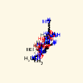 CCc1cc(OCCCCN=[N+]=[N-])ccc1-c1ccc(C[C@H](NC(=O)[C@H](CC(=O)O)NC(=O)[C@H](CO)NC(=O)[C@@H](NC(=O)[C@](C)(Cc2ccccc2F)NC(=O)[C@@H](NC(=O)CNC(=O)[C@H](Cc2nn[nH]n2)NC(=O)C(C)(C)NC(=O)CCCCCCCCc2cnc[nH]2)[C@@H](C)O)[C@@H](C)O)C(=O)N[C@@H](CCCc2cc(C)cc(C)c2)C(N)=O)cc1